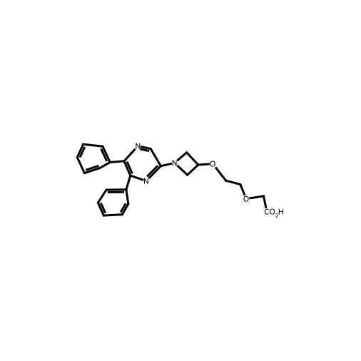 O=C(O)COCCOC1CN(c2cnc(-c3ccccc3)c(-c3ccccc3)n2)C1